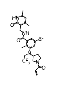 C=CC(=O)N1CCC(N(CC(F)(F)F)c2cc(Br)cc(C(=O)NCc3c(C)cc(C)[nH]c3=O)c2C)C1